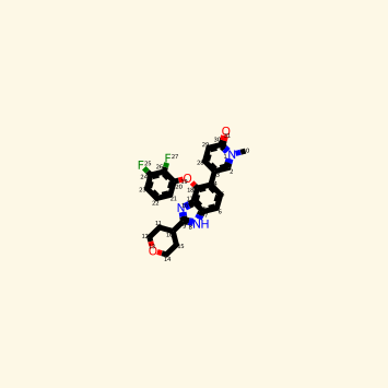 Cn1cc(-c2ccc3[nH]c(C4CCOCC4)nc3c2Oc2cccc(F)c2F)ccc1=O